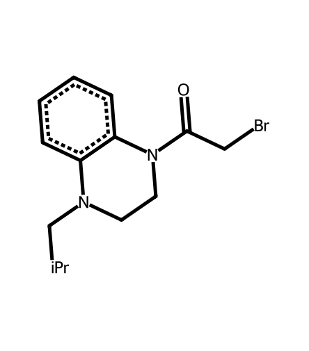 CC(C)CN1CCN(C(=O)CBr)c2ccccc21